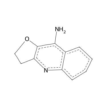 Nc1c2c(nc3ccccc13)CCO2